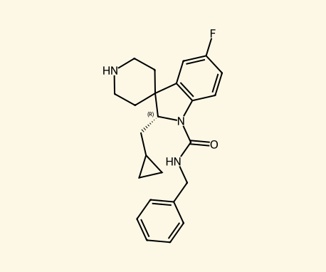 O=C(NCc1ccccc1)N1c2ccc(F)cc2C2(CCNCC2)[C@H]1CC1CC1